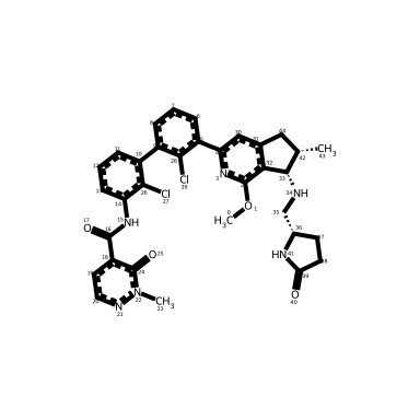 COc1nc(-c2cccc(-c3cccc(NC(=O)c4ccnn(C)c4=O)c3Cl)c2Cl)cc2c1[C@@H](NC[C@@H]1CCC(=O)N1)[C@@H](C)C2